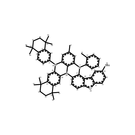 Cc1cc2c3c(c1)N(c1ccccc1C)c1c(ccc4oc5ccc(C(C)(C)C)cc5c14)B3c1cc3c(cc1N2c1ccc2c(c1)C(C)(C)CCC2(C)C)C(C)(C)CCC3(C)C